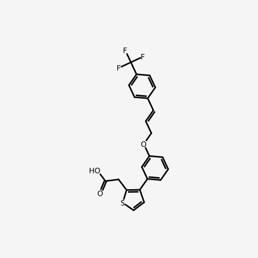 O=C(O)Cc1sccc1-c1cccc(OCC=Cc2ccc(C(F)(F)F)cc2)c1